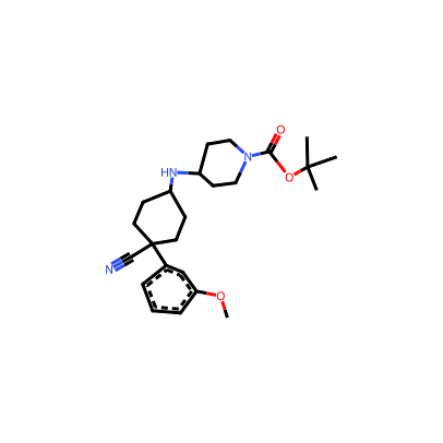 COc1cccc(C2(C#N)CCC(NC3CCN(C(=O)OC(C)(C)C)CC3)CC2)c1